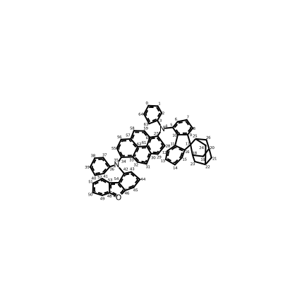 c1ccc(N(c2cccc3c2-c2ccccc2C32C3CC4CC(C3)CC2C4)c2ccc3ccc4c(N(c5ccccc5)c5cccc6oc7ccccc7c56)ccc5ccc2c3c54)cc1